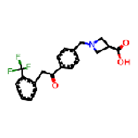 O=C(Cc1ccccc1C(F)(F)F)c1ccc(CN2CC(C(=O)O)C2)cc1